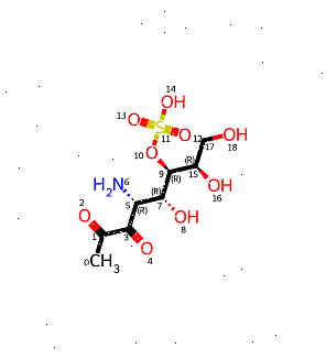 CC(=O)C(=O)[C@H](N)[C@@H](O)[C@@H](OS(=O)(=O)O)[C@H](O)CO